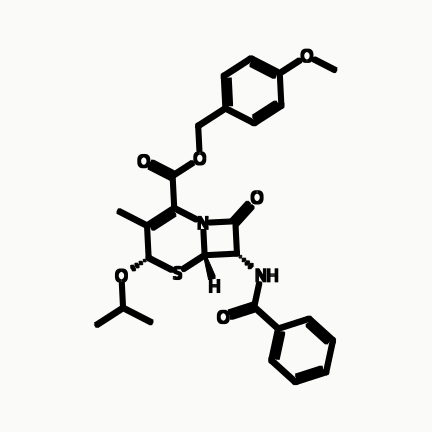 COc1ccc(COC(=O)C2=C(C)[C@@H](OC(C)C)S[C@H]3[C@@H](NC(=O)c4ccccc4)C(=O)N23)cc1